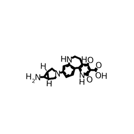 NC1[C@H]2CN(c3ccc4c(c3)NCCc3c-4[nH]c(=O)c(C(=O)O)c3O)C[C@@H]12